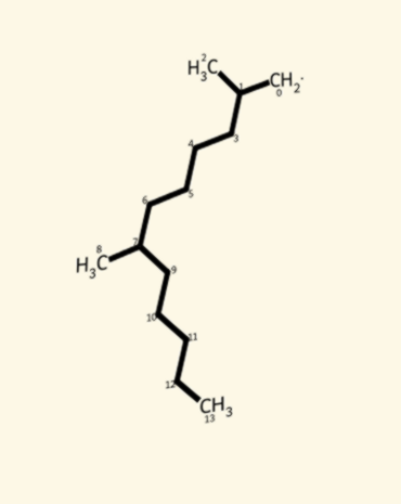 [CH2]C(C)CCCCC(C)CCCCC